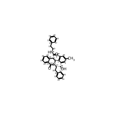 Cc1ccc([C@@H]2[C@@H](C(=O)NCCc3ccccc3)c3ccccc3C(=O)N2[C@H](CO)Cc2ccccc2)c(C)c1